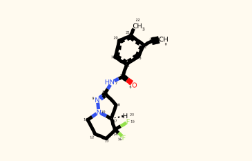 C#Cc1cc(C(=O)NC2=NN3CCCC(F)(F)[C@@H]3C2)ccc1C